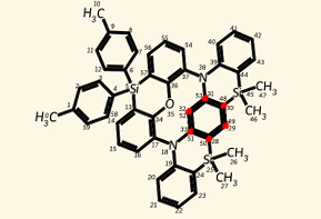 Cc1ccc([Si]2(c3ccc(C)cc3)c3cccc(N4c5ccccc5[Si](C)(C)c5ccccc54)c3Oc3c(N4c5ccccc5[Si](C)(C)c5ccccc54)cccc32)cc1